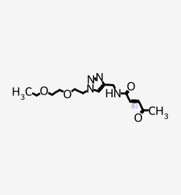 CCOCCOCCn1cc(CNC(=O)/C=C/C(C)=O)nn1